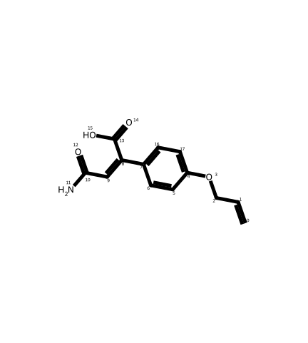 C=CCOc1ccc(/C(=C/C(N)=O)C(=O)O)cc1